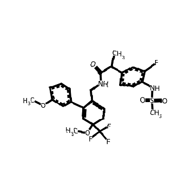 COc1cccc(C2=CC(OC)(C(F)(F)F)CC=C2CNC(=O)C(C)c2ccc(NS(C)(=O)=O)c(F)c2)c1